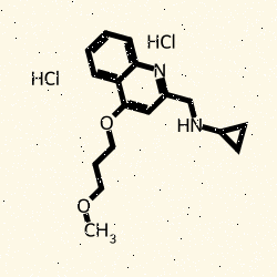 COCCCOc1cc(CNC2CC2)nc2ccccc12.Cl.Cl